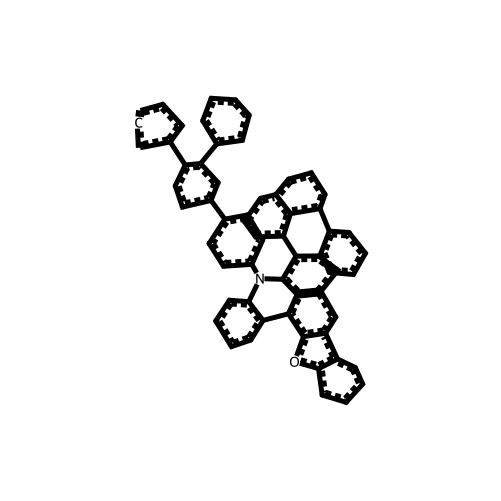 c1ccc(-c2ccc(-c3ccc(N(c4ccccc4-c4cccc5c4oc4ccccc45)c4ccccc4-c4cccc5cccc(-c6ccccc6)c45)cc3)cc2-c2ccccc2)cc1